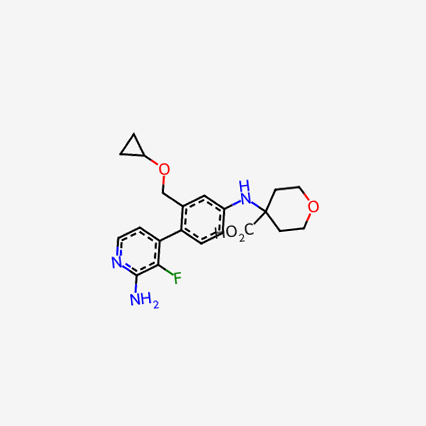 Nc1nccc(-c2ccc(NC3(C(=O)O)CCOCC3)cc2COC2CC2)c1F